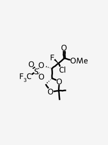 COC(=O)[C@](F)(Cl)[C@@H](OS(=O)(=O)C(F)(F)F)[C@H]1COC(C)(C)O1